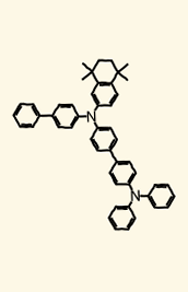 CC1(C)CCC(C)(C)c2cc(N(c3ccc(-c4ccccc4)cc3)c3ccc(-c4ccc(N(c5ccccc5)c5ccccc5)cc4)cc3)ccc21